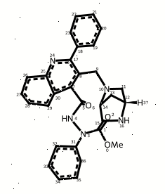 COC(=O)N(NC(=O)c1c(CN2C[C@H]3CC2CN3)c(-c2ccccc2)nc2ccccc12)c1ccccc1